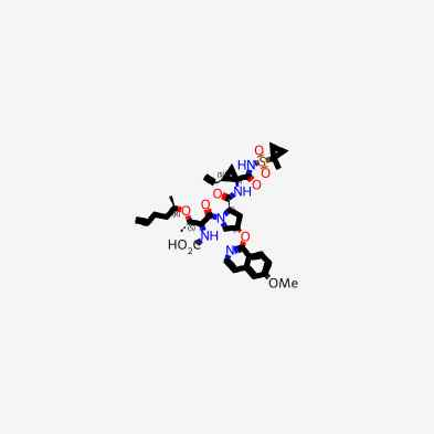 C=CCC[C@@H](C)O[C@@H](C)C(NC(=O)O)C(=O)N1C[C@H](Oc2nccc3cc(OC)ccc23)C[C@H]1C(=O)N[C@]1(C(=O)NS(=O)(=O)C2(C)CC2)C[C@H]1C=C